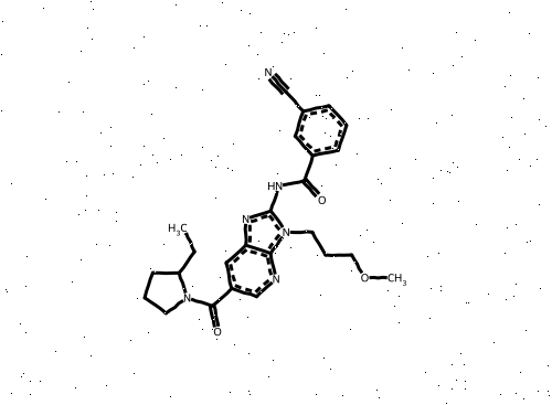 CCC1CCCN1C(=O)c1cnc2c(c1)nc(NC(=O)c1cccc(C#N)c1)n2CCCOC